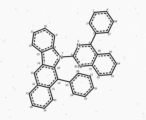 c1ccc(-c2nc(-n3c4ccccc4c4cc5ccccc5c(-c5ccccc5)c43)nc3ccccc23)cc1